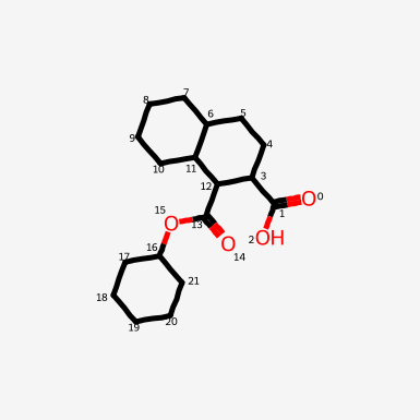 O=C(O)C1CCC2CCCCC2C1C(=O)OC1CCCCC1